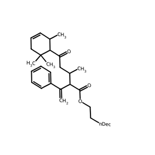 C=C(c1ccccc1)C(C(=O)OCCCCCCCCCCCC)C(C)CC(=O)C1C(C)C=CCC1(C)C